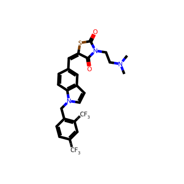 CN(C)CCN1C(=O)SC(=Cc2ccc3c(ccn3Cc3ccc(C(F)(F)F)cc3C(F)(F)F)c2)C1=O